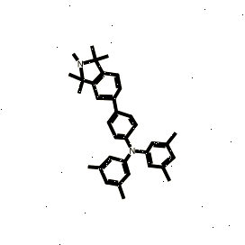 Cc1cc(C)cc(N(c2ccc(-c3ccc4c(c3)C(C)(C)N(C)C4(C)C)cc2)c2cc(C)cc(C)c2)c1